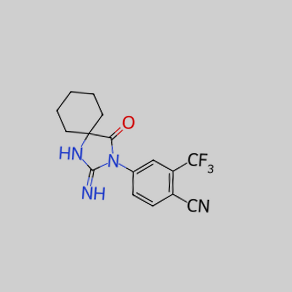 N#Cc1ccc(N2C(=N)NC3(CCCCC3)C2=O)cc1C(F)(F)F